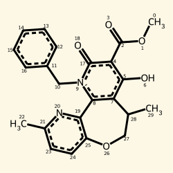 COC(=O)c1c(O)c2c(n(Cc3ccccc3)c1=O)-c1nc(C)ccc1OCC2C